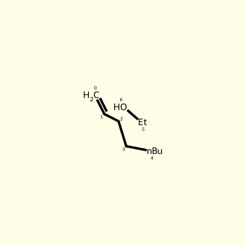 C=CCCCCCC.CCO